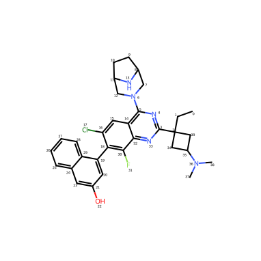 CCC1(c2nc(N3CC4CCC(C3)N4)c3cc(Cl)c(-c4cc(O)cc5ccccc45)c(F)c3n2)CC(N(C)C)C1